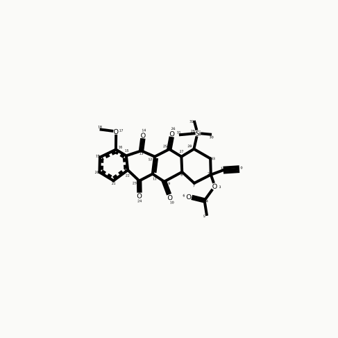 C#CC1(OC(C)=O)CC2C(=O)C3=C(C(=O)c4c(OC)cccc4C3=O)C(=O)C2C([Si](C)(C)C)C1